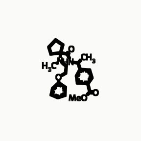 COC(=O)c1ccc(C(C)NC(=O)C2(N(C)CCOc3ccccc3)CCCC2)cc1